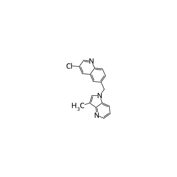 Cc1cn(Cc2ccc3ncc(Cl)cc3c2)c2cccnc12